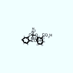 NC(N)(Oc1ccccc1C(=O)O)Oc1ccccc1C(=O)O